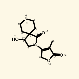 CC1=C(N2C[C@@H](O)C3(CCNCC3)C2=O)COC1=O